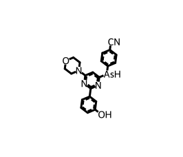 N#Cc1ccc([AsH]c2cc(N3CCOCC3)nc(-c3cccc(O)c3)n2)cc1